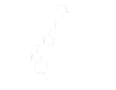 O=C1CCCN1CCCNc1nc(Nc2ccc3c(c2)CCC(CC(F)(F)F)NC3)ncc1Cl